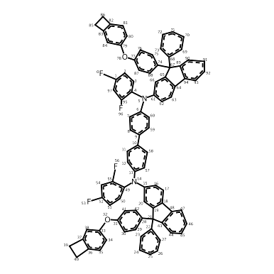 Fc1ccc(N(c2ccc(-c3ccc(N(c4ccc5c(c4)C(c4ccccc4)(c4ccc(Oc6ccc7c(c6)CC7)cc4)c4ccccc4-5)c4ccc(F)cc4F)cc3)cc2)c2ccc3c(c2)C(c2ccccc2)(c2ccc(Oc4ccc5c(c4)CC5)cc2)c2ccccc2-3)c(F)c1